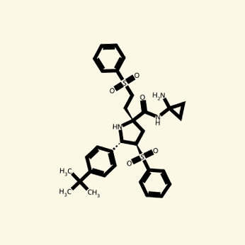 CC(C)(C)c1ccc([C@@H]2N[C@](CCS(=O)(=O)c3ccccc3)(C(=O)NC3(N)CC3)C[C@H]2S(=O)(=O)c2ccccc2)cc1